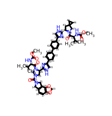 COC(=O)N[C@H](C(=O)N1CN(C(=O)N2Cc3ccc4c(c3C2)OCO4)CC1c1nc(-c2ccc(-c3ccc(-c4c[nH]c([C@@H]5CC6(CC6)CN5C(=O)[C@@H](NC(=O)OC)C(C)C)n4)cc3)cc2)c[nH]1)C(C)C